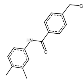 Cc1ccc(NC(=O)c2ccc(CCl)cc2)cc1C